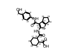 O=C(Nc1ccc(CO)cc1)c1c(NC(=O)C2CCCCC2C(=O)O)sc2c1CCC2